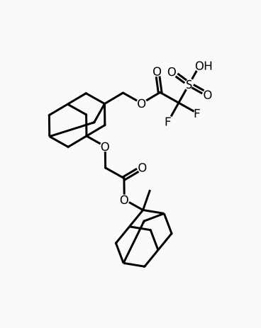 CC1(OC(=O)COC23CC4CC(CC(COC(=O)C(F)(F)S(=O)(=O)O)(C4)C2)C3)C2CC3CC(C2)CC1C3